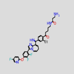 CCc1cc(C(=N)C2=CCC=Cn3c(-c4ccc(Oc5ccc(F)cn5)c(F)c4F)cnc32)ccc1C(=O)CCCCNC(=O)CCN